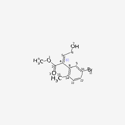 COC(=O)/C(=C/CO)c1cc(Br)ccc1C